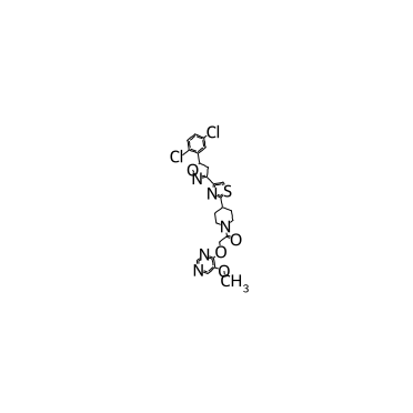 COc1cncnc1OCC(=O)N1CCC(c2nc(C3=NOC(c4cc(Cl)ccc4Cl)C3)cs2)CC1